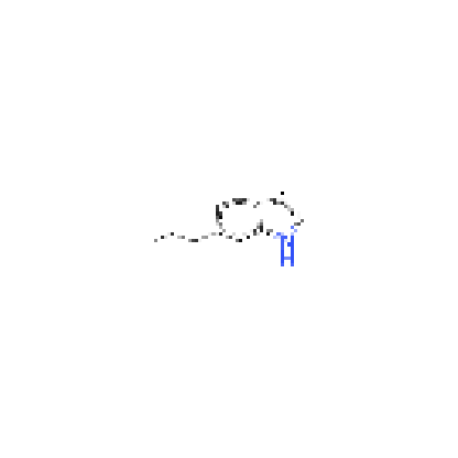 CCCc1ccc2[c]c[nH]c2c1